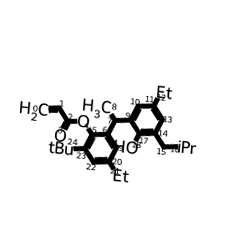 C=CC(=O)Oc1c(C(C)c2cc(CC)cc(CC(C)C)c2O)cc(CC)cc1C(C)(C)C